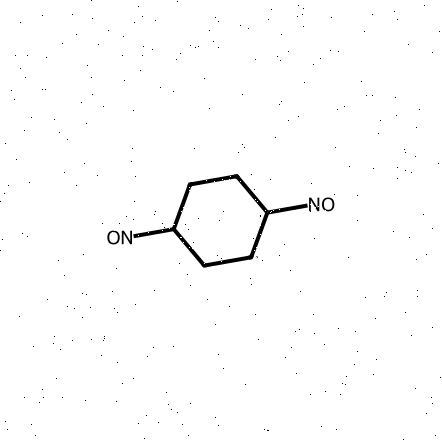 O=NC1[CH]CC(N=O)CC1